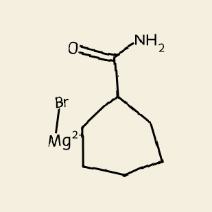 NC(=O)C1CCCCC1.[Mg+2][Br]